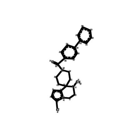 CN1CCn2c(Cl)ccc2C12CCN(C(=O)c1ccc(-c3ccccc3)cc1)CC2